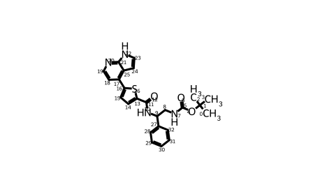 CC(C)(C)OC(=O)NCC(NC(=O)c1ccc(-c2ccnc3[nH]ccc23)s1)c1ccccc1